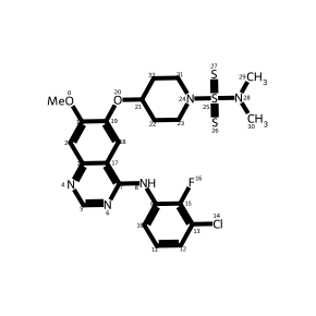 COc1cc2ncnc(Nc3cccc(Cl)c3F)c2cc1OC1CCN(S(=S)(=S)N(C)C)CC1